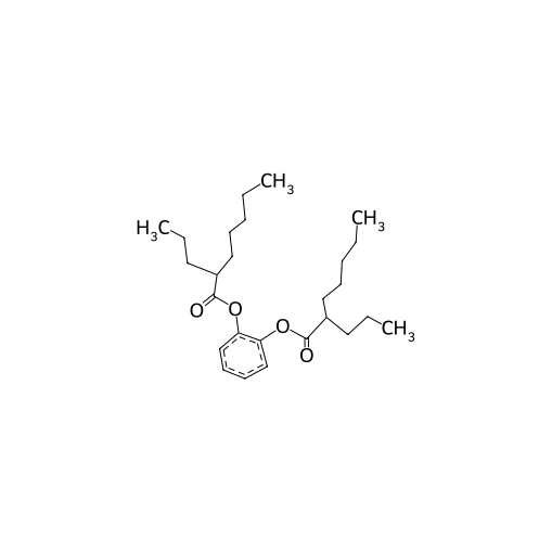 CCCCCC(CCC)C(=O)Oc1ccccc1OC(=O)C(CCC)CCCCC